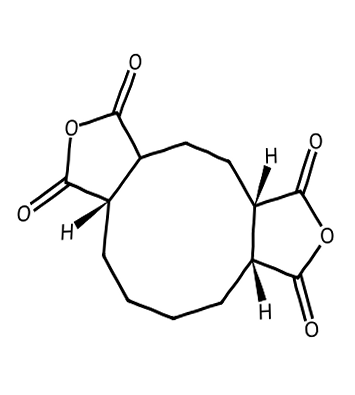 O=C1OC(=O)[C@H]2CCCC[C@H]3C(=O)OC(=O)[C@H]3CCC12